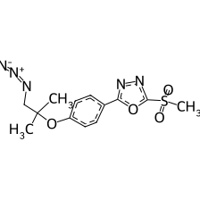 CC(C)(CN=[N+]=[N-])Oc1ccc(-c2nnc(S(C)(=O)=O)o2)cc1